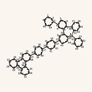 c1ccc(-c2ccc3c(c2)-c2cc(-c4ccc(-c5ccc(-c6ccc7c8ccccc8c8ccccc8c7c6)cc5)cc4)ccc2N(c2ccccc2)c2ccccc2-3)cc1